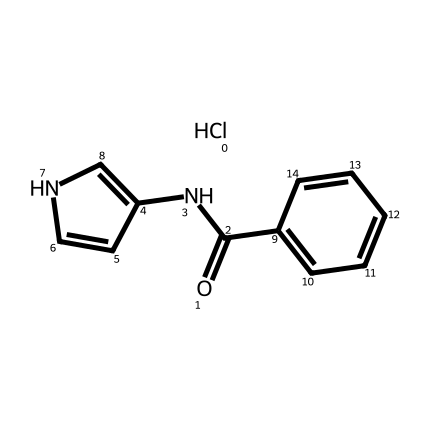 Cl.O=C(Nc1cc[nH]c1)c1ccccc1